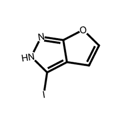 Ic1[nH]nc2occc12